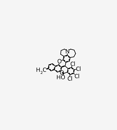 C=c1ccc2c3c(ccc2c1)=C(c1c(Cl)c(Cl)c(Cl)c(Cl)c1C(=O)O)c1cc2c4c(c1O3)CCCN4CCCC2